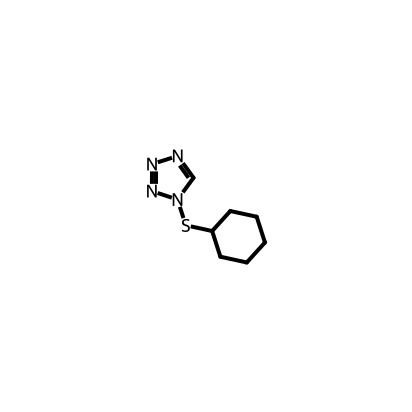 c1nnnn1SC1CCCCC1